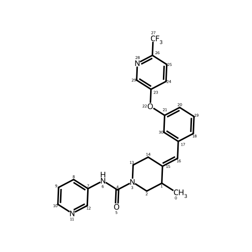 CC1CN(C(=O)Nc2cccnc2)CCC1=Cc1cccc(Oc2ccc(C(F)(F)F)nc2)c1